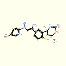 C[C@@]1(c2cc(/C(N)=C/N(N)c3ccc(C#N)cn3)ccc2F)C[C@@H](C(F)(F)F)OC(N)=N1